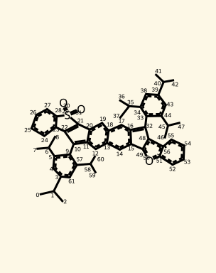 CC(C)c1cc(C(C)C)c(C2=c3cc4cc5c(cc4cc3C3=C2c2ccccc2S3(=O)=O)=C(c2c(C(C)C)cc(C(C)C)cc2C(C)C)c2c-5oc3ccccc23)c(C(C)C)c1